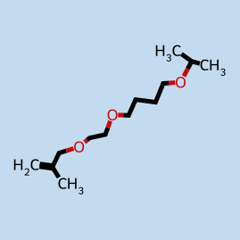 C=C(C)COCCOCCCCOC(C)C